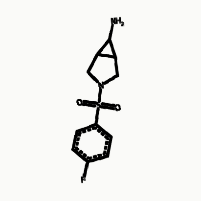 NC1C2CN(S(=O)(=O)c3ccc(F)cc3)CC12